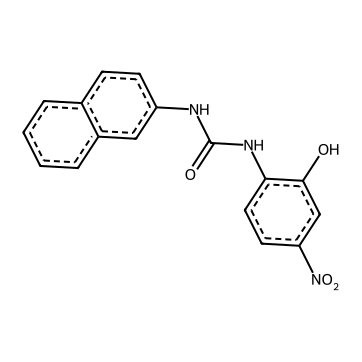 O=C(Nc1ccc2ccccc2c1)Nc1ccc([N+](=O)[O-])cc1O